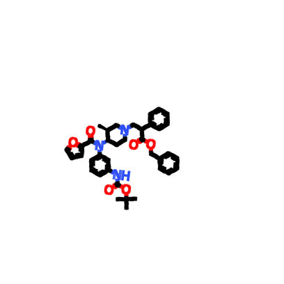 C[C@H]1CN(CC(C(=O)OCc2ccccc2)c2ccccc2)CC[C@H]1N(C(=O)c1ccco1)c1cccc(NC(=O)OC(C)(C)C)c1